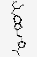 CN(C)c1ncc(/C=C/c2nc3ccc(OC(CO)CO)cc3o2)s1